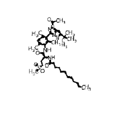 CCCCCCCCCCCC(=O)NC(CCS(C)(=O)=O)C(=O)Nc1c(C)cc(C)c(-c2nn(C(C)=O)c3cc(C(C)(C)C)nn23)c1C